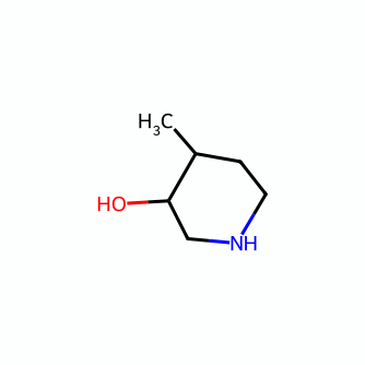 CC1CCNCC1O